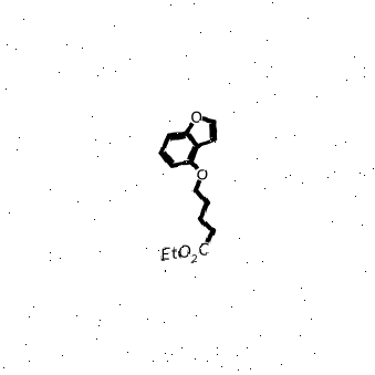 CCOC(=O)CCCCOc1cccc2occc12